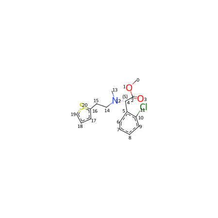 COC(=O)[C@H](c1ccccc1Cl)N(C)CCc1cccs1